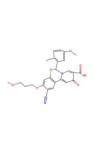 COCCCOc1cc2c(cc1C#N)-c1cc(=O)c(C(=O)O)cn1C(c1cc(OC)ccc1C)O2